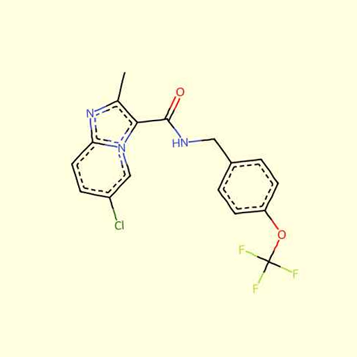 Cc1nc2ccc(Cl)cn2c1C(=O)NCc1ccc(OC(F)(F)F)cc1